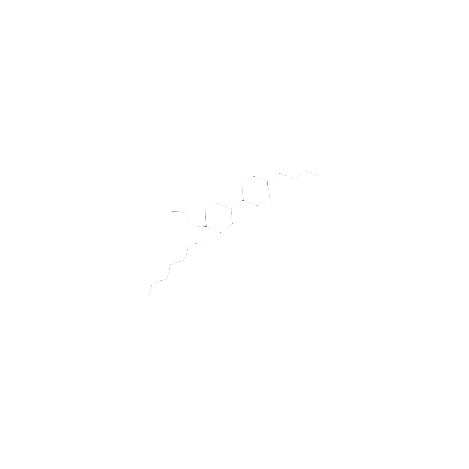 CCCCCCC[C@]1(OCC)CC[C@@H](C2CCC(CCCC)CC2)CC1